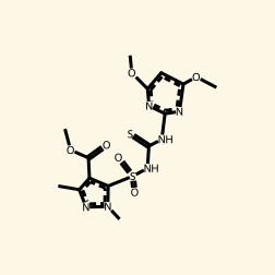 COC(=O)c1c(C)nn(C)c1S(=O)(=O)NC(=S)Nc1nc(OC)cc(OC)n1